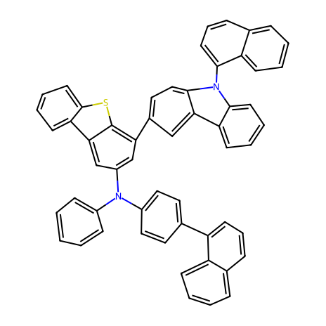 c1ccc(N(c2ccc(-c3cccc4ccccc34)cc2)c2cc(-c3ccc4c(c3)c3ccccc3n4-c3cccc4ccccc34)c3sc4ccccc4c3c2)cc1